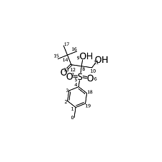 Cc1ccc(S(=O)(=O)C(O)(CO)C(=O)C(C)(C)C)cc1